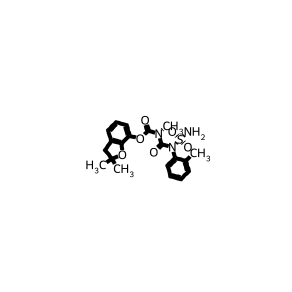 Cc1ccccc1N(C(=O)N(C)C(=O)Oc1cccc2c1OC(C)(C)C2)S(N)(=O)=O